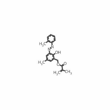 C=C(C)C(=O)OCc1cc(C)cc(N=Nc2ccccc2C)c1O